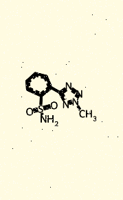 Cn1nnc(-c2ccccc2S(N)(=O)=O)n1